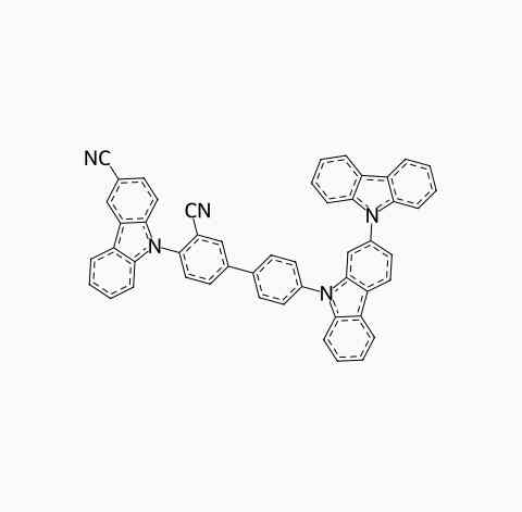 N#Cc1ccc2c(c1)c1ccccc1n2-c1ccc(-c2ccc(-n3c4ccccc4c4ccc(-n5c6ccccc6c6ccccc65)cc43)cc2)cc1C#N